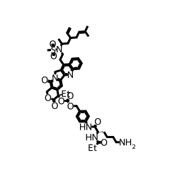 C=CC(CC=C(C)C)CC(C)N(CCc1c2c(nc3ccccc13)-c1cc3c(c(=O)n1C2)COC(=O)[C@@]3(CC)OC(=O)OCc1ccc(NC(=O)[C@H](CCCCN)NC(=O)CC)cc1)S(C)(=O)=O